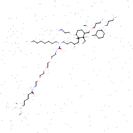 CCCCCCCCN(CCC[C@@H](C)[C@H]1CC[C@H]2C([C@@H](CC3CCC[C@@H](OCCCN)C3)OCCCN)[C@@H](CC)C[C@H](OCCCN)C12C)C(=O)NCCOCCOCCOCCNC(=O)CCCC[Si](OC)(OC)OC